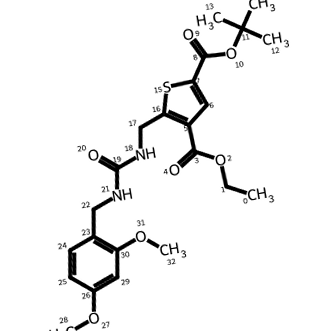 CCOC(=O)c1cc(C(=O)OC(C)(C)C)sc1CNC(=O)NCc1ccc(OC)cc1OC